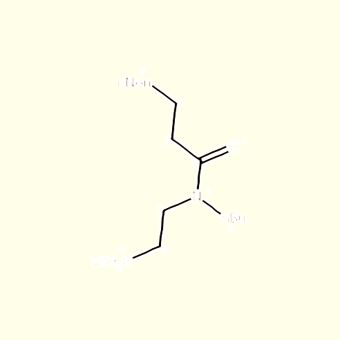 CCCCCCCCCCCC(=O)N(CCCC)CCC(=O)OCC